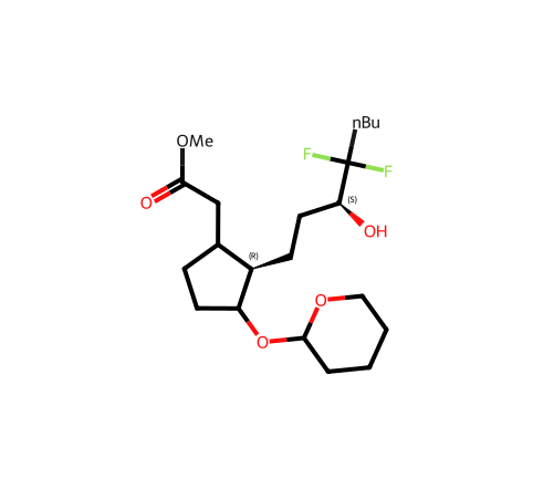 CCCCC(F)(F)[C@@H](O)CC[C@@H]1C(CC(=O)OC)CCC1OC1CCCCO1